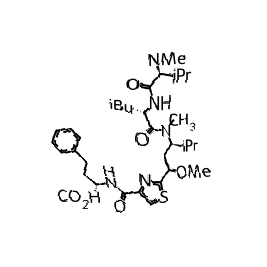 CCC(C)[C@H](NC(=O)[C@@H](NC)C(C)C)C(=O)N(C)[C@H](CC(OC)c1nc(C(=O)N[C@@H](CCc2ccccc2)C(=O)O)cs1)C(C)C